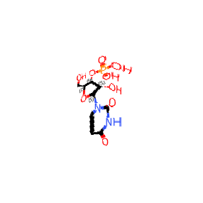 O=c1ccn([C@H]2O[C@@H](CO)[C@H](OP(=O)(O)O)[C@@H]2O)c(=O)[nH]1